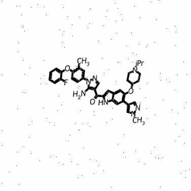 Cc1cc(-n2ncc(C(=O)c3cc4cc(OC5CCN(C(C)C)CC5)c(-c5cnn(C)c5)cc4[nH]3)c2N)ccc1Oc1ccccc1F